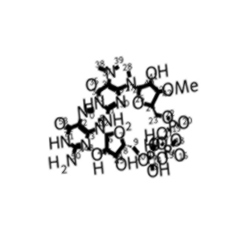 C=Nc1c(N(C)[C@@H]2O[C@H](COP(=O)(O)OP(=O)(O)OP(=O)(O)OC[C@H]3O[C@@H](N(C)c4nc(N)[nH]c(=O)c4N(C)C)C(O)C3OC)C(O)C2O)nc(N)[nH]c1=O